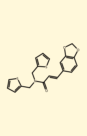 O=C(C=Cc1ccc2c(c1)OCO2)N(Cc1cccs1)Cc1cccs1